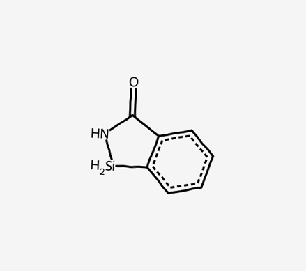 O=C1N[SiH2]c2ccccc21